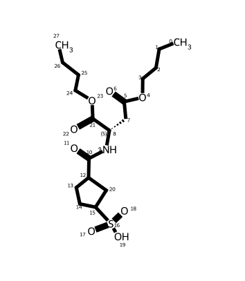 CCCCOC(=O)C[C@H](NC(=O)C1CCC(S(=O)(=O)O)C1)C(=O)OCCCC